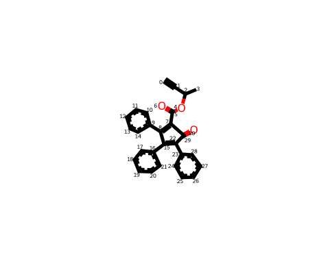 C#CC(C)OC(=O)C1=C(c2ccccc2)C(c2ccccc2)=C(c2ccccc2)C1=O